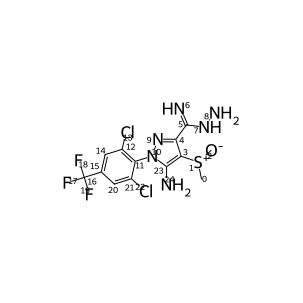 C[S+]([O-])c1c(C(=N)NN)nn(-c2c(Cl)cc(C(F)(F)F)cc2Cl)c1N